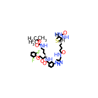 CC(C)(C)OC(=O)NCCCC[C@H](NC(=O)c1cccc(-n2cc(CNC(=O)CCCC[C@@H]3SC[C@@H]4NC(=O)N[C@@H]43)nn2)c1)C(=O)COc1c(F)cccc1F